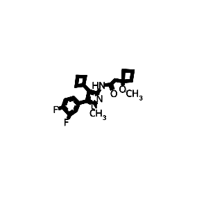 COC1(CC(=O)Nc2nn(C)c(-c3ccc(F)c(F)c3)c2C2CCC2)CCC1